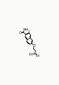 CCN(CC)CCOc1ccc2cc(C(N)=O)ccc2c1